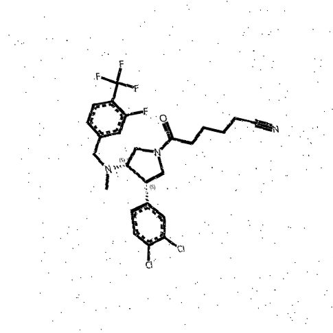 CN(Cc1ccc(C(F)(F)F)c(F)c1)[C@@H]1CN(C(=O)CCCCC#N)C[C@@H]1c1ccc(Cl)c(Cl)c1